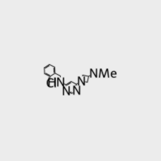 CNC1CN(c2cc(NCc3ccccc3Cl)ncn2)C1